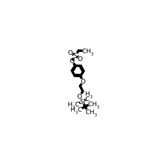 CCS(=O)(=O)Oc1ccc(OCCO[Si](C)(C)C(C)(C)C)cc1